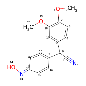 COc1ccc(C(C#N)C2=C=CC(=NO)C=C2)cc1OC